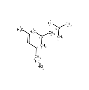 CC=CCC.CN(C)C.CN(C)C.Cl.Cl